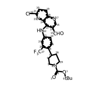 CC(C)(C)OC(=O)N1CCC(c2ccc(Nc3c(C=O)cnc4ccc(Cl)nc34)cc2C(F)(F)F)CC1